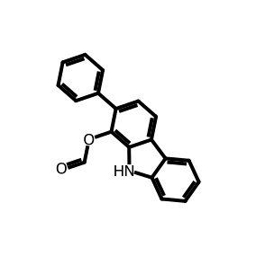 O=COc1c(-c2ccccc2)ccc2c1[nH]c1ccccc12